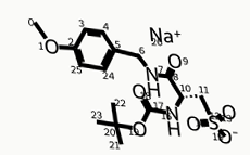 COc1ccc(CNC(=O)[C@H](CS(=O)(=O)[O-])NC(=O)OC(C)(C)C)cc1.[Na+]